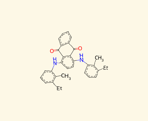 CCc1cccc(Nc2ccc(Nc3cccc(CC)c3C)c3c2C(=O)c2ccccc2C3=O)c1C